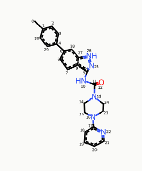 Cc1ccc(-c2ccc3c(NC(=O)N4CCN(c5ccccn5)CC4)n[nH]c3c2)cc1